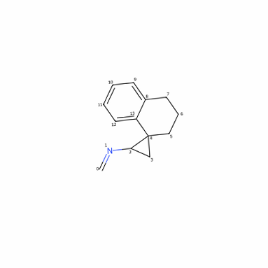 C=NC1CC12CCCc1ccccc12